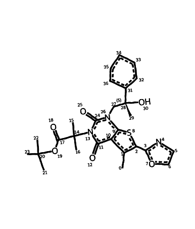 Cc1c(-c2ncco2)sc2c1c(=O)n(C(C)(C)C(=O)OC(C)(C)C)c(=O)n2C[C@@](C)(O)c1ccccc1